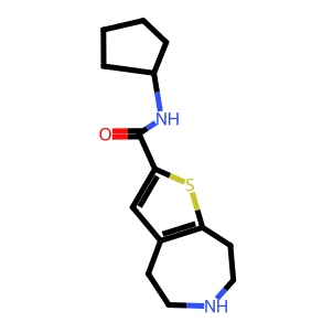 O=C(NC1CCCC1)c1cc2c(s1)CCNCC2